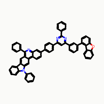 c1ccc(-c2nc(-c3ccc(-c4ccc5c(c4)nc(-c4ccccc4)c4cc6c7ccccc7n(-c7ccccc7)c6cc45)cc3)cc(-c3cccc(-c4cccc5oc6ccccc6c45)c3)n2)cc1